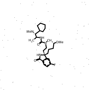 CN[C@H](C1CCCCC1)C(C)NC(=O)N(C)CC[C@]1(CCCCOC)NC(=O)c2ccc(F)cc21